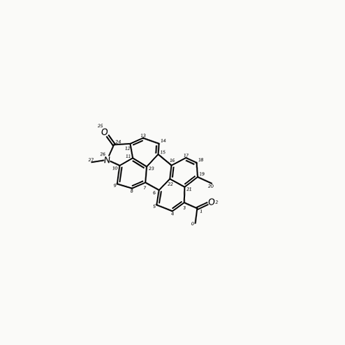 CC(=O)c1ccc2c3ccc4c5c(ccc(c6ccc(C)c1c62)c53)C(=O)N4C